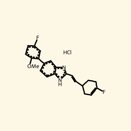 COc1ccc(F)cc1-c1ccc2[nH]c(/C=C/C3CC=C(F)CC3)nc2c1.Cl